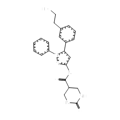 CCCc1cccc(-c2cc(NC(=O)C3CNC(=O)NC3)nn2-c2ccccc2)c1